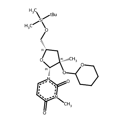 Cn1c(=O)ccn([C@@H]2O[C@H](CO[Si](C)(C)C(C)(C)C)C[C@@]2(C)OC2CCCCO2)c1=O